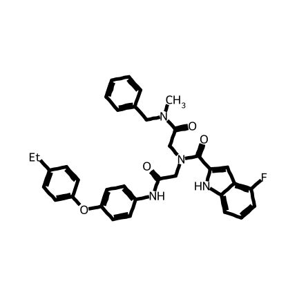 CCc1ccc(Oc2ccc(NC(=O)CN(CC(=O)N(C)Cc3ccccc3)C(=O)c3cc4c(F)cccc4[nH]3)cc2)cc1